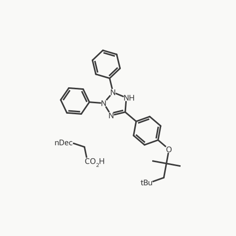 CC(C)(C)CC(C)(C)Oc1ccc(C2=NN(c3ccccc3)N(c3ccccc3)N2)cc1.CCCCCCCCCCCC(=O)O